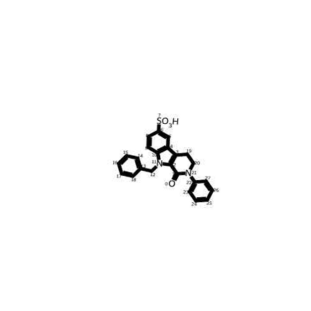 O=C1c2c(c3cc(S(=O)(=O)O)ccc3n2Cc2ccccc2)CCN1c1ccccc1